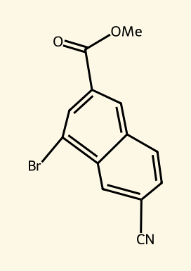 COC(=O)c1cc(Br)c2cc(C#N)ccc2c1